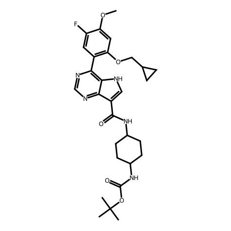 COc1cc(OCC2CC2)c(-c2ncnc3c(C(=O)NC4CCC(NC(=O)OC(C)(C)C)CC4)c[nH]c23)cc1F